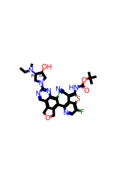 CCN(C)[C@@H]1CN(c2ncc3c4c(c(-c5ncc(F)c6sc(NC(=O)OC(C)(C)C)c(C#N)c56)c(F)c3n2)COC4)C[C@@H]1O